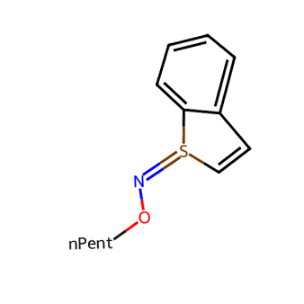 CCCCCON=S1C=Cc2ccccc21